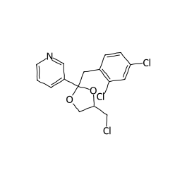 ClCC1COC(Cc2ccc(Cl)cc2Cl)(c2cccnc2)O1